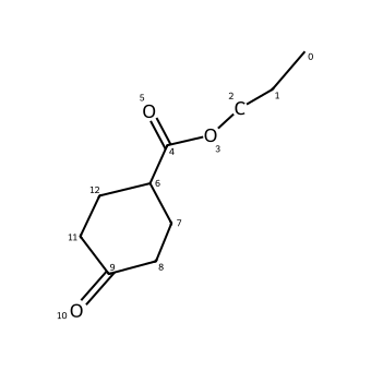 CCCOC(=O)C1CCC(=O)CC1